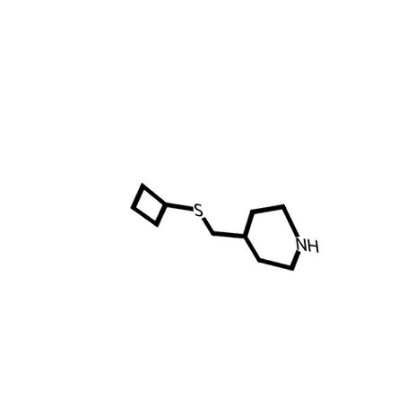 C1CC(SCC2CCNCC2)C1